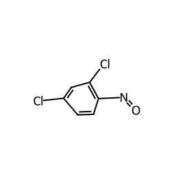 O=Nc1ccc(Cl)cc1Cl